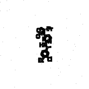 CCc1ccc([C@H](C)Nc2nccc(N3C(=O)OC[C@@H]3C(C)C)n2)cc1Cl